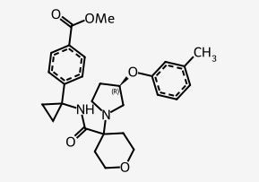 COC(=O)c1ccc(C2(NC(=O)C3(N4CC[C@@H](Oc5cccc(C)c5)C4)CCOCC3)CC2)cc1